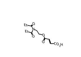 CCC(=O)N(CCOC(=O)/C=C/C(=O)O)C(=O)CC